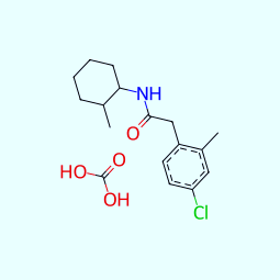 Cc1cc(Cl)ccc1CC(=O)NC1CCCCC1C.O=C(O)O